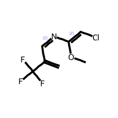 C=C(/C=N\C(=C\Cl)OC)C(F)(F)F